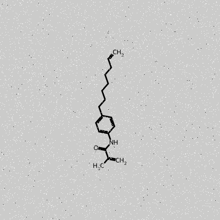 C=CCCCCCCc1ccc(NC(=O)C(=C)C)cc1